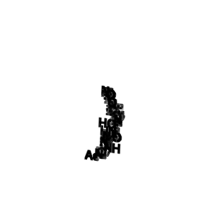 CC(=O)N1CCC(Nc2cc(C(=O)NC[C@H](O)CN3CCc4c(ccc(OCc5cnco5)c4C)C3)ncn2)CC1